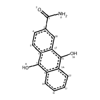 NC(=O)c1ccc2c(O)c3ccccc3c(O)c2c1